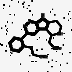 COCOc1ccccc1-c1cc2c3c([nH]c2nn1)CCNC3COC